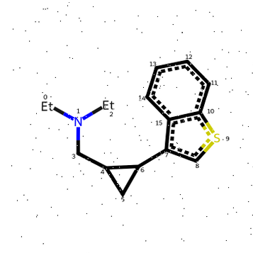 CCN(CC)CC1CC1c1csc2ccccc12